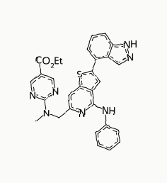 CCOC(=O)c1cnc(N(C)Cc2cc3sc(-c4cccc5[nH]ncc45)cc3c(Nc3ccccc3)n2)nc1